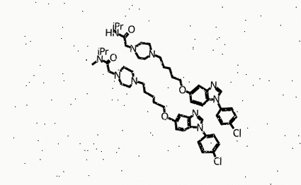 CC(C)N(C)C(=O)CN1CCN(CCCCCOc2ccc3c(c2)ncn3-c2ccc(Cl)cc2)CC1.CC(C)NC(=O)CN1CCN(CCCCCOc2ccc3c(c2)ncn3-c2ccc(Cl)cc2)CC1